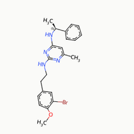 COc1ccc(CCNc2nc(C)cc(N[C@@H](C)c3ccccc3)n2)cc1Br